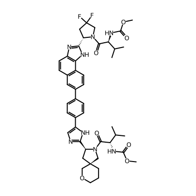 COC(=O)N[C@H](C(=O)N1C[C@]2(CCCOC2)C[C@H]1c1ncc(-c2ccc(-c3ccc4c(ccc5nc([C@@H]6CC(F)(F)CN6C(=O)[C@@H](NC(=O)OC)C(C)C)[nH]c54)c3)cc2)[nH]1)C(C)C